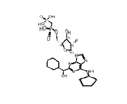 O=P(O)(O)CP(=O)(O)OC[C@H]1O[C@@H](n2cnc3c(NC4CCCC4)nc(C(O)C4CCCCC4)nc32)[C@@H](F)[C@@H]1O